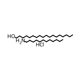 CCCCCCCCCCCCCCCCCCO.CCCCCCCCCCCCN.Cl